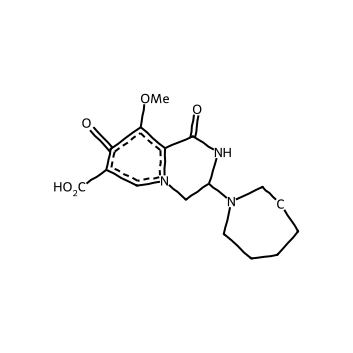 COc1c2n(cc(C(=O)O)c1=O)CC(N1CCCCCC1)NC2=O